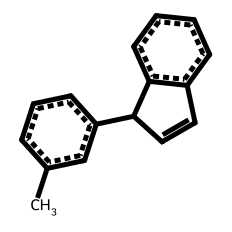 Cc1cccc(C2C=Cc3ccccc32)c1